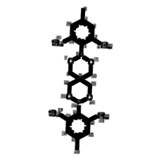 Cc1cc(C(C)(C)C)c(P2OCC3(CO2)COP(c2c(C(C)(C)C)cc(C)cc2C(C)(C)C)OC3)c(C(C)(C)C)c1